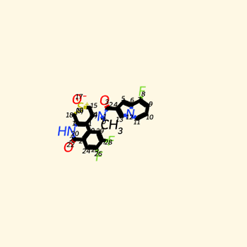 CN(C(=O)c1cc2c(F)cccn2c1)[C@H]1C[S@@+]([O-])Cc2[nH]c(=O)c3cc(F)c(F)cc3c21